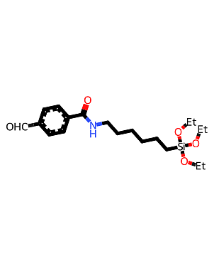 CCO[Si](CCCCCCNC(=O)c1ccc(C=O)cc1)(OCC)OCC